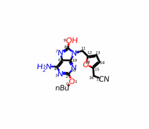 CCCCOc1nc(N)c2nc(O)n(Cc3ccc(CC#N)o3)c2n1